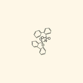 O=S(=O)([N]S(=O)(=O)c1ccccc1-c1ccccc1)c1ccccc1-c1ccccc1